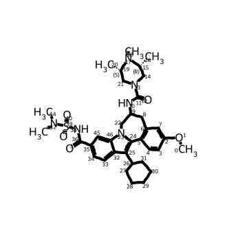 COc1ccc2c(c1)CC(NC(=O)N1C[C@@H](C)N(C)[C@@H](C)C1)Cn1c-2c(C2CCCCC2)c2ccc(C(=O)NS(=O)(=O)N(C)C)cc21